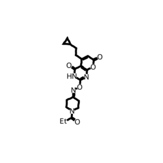 CCC(=O)N1CCC(=NOc2nc3oc(=O)cc(CCC4CC4)c3c(=O)[nH]2)CC1